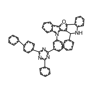 c1ccc(-c2ccc(-c3nc(-c4ccccc4)nc(-c4cccc(-n5c6ccccc6c6oc7c(c65)C(c5ccccc5)Nc5ccccc5-7)c4)n3)cc2)cc1